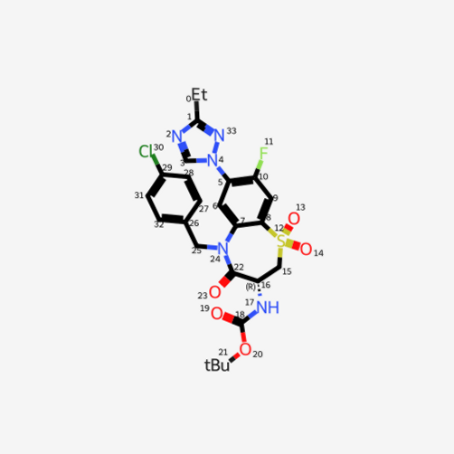 CCc1ncn(-c2cc3c(cc2F)S(=O)(=O)C[C@H](NC(=O)OC(C)(C)C)C(=O)N3Cc2ccc(Cl)cc2)n1